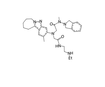 CCNCCNC(=O)CN(CC(=O)N(C)N1Cc2ccccc2C1)c1cc2nn3c(c2cc1C)CCCCC3